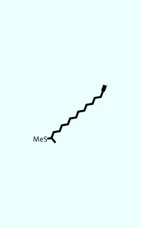 [C]#CCCCCCCCCCCCCC(C)SC